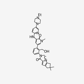 CCN1CCN(c2ccc(Nc3cc(-c4cccc(N5CCn6c(cc7c6CC(C)(C)C7)C5=O)c4CO)cn(C)c3=O)nc2)CC1